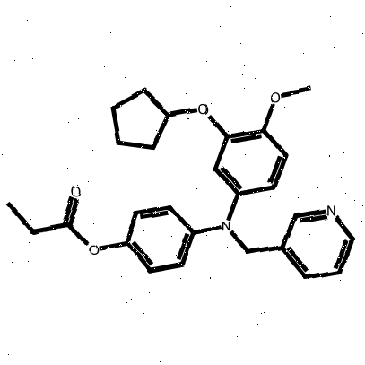 CCC(=O)Oc1ccc(N(Cc2cccnc2)c2ccc(OC)c(OC3CCCC3)c2)cc1